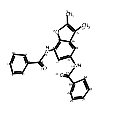 Cc1oc2c(NC(=O)c3ccccc3)cc(NC(=O)c3ccccc3)cc2c1C